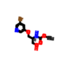 CC(C)(C)OC(=O)N[C@@H](CO)COc1cncc(Br)c1